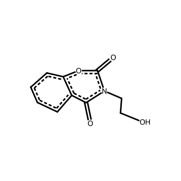 O=c1oc2ccccc2c(=O)n1CCO